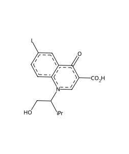 CC(C)C(CO)n1cc(C(=O)O)c(=O)c2cc(I)ccc21